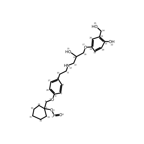 O=POC1(COc2ccc(CCNCC(O)COc3ccc(O)c(CO)c3)cc2)CCCCC1